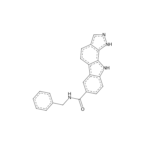 O=C(NCc1ccccc1)c1ccc2[nH]c3c(ccc4cn[nH]c43)c2c1